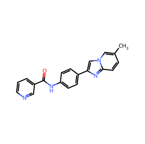 Cc1ccc2nc(-c3ccc(NC(=O)c4cccnc4)cc3)cn2c1